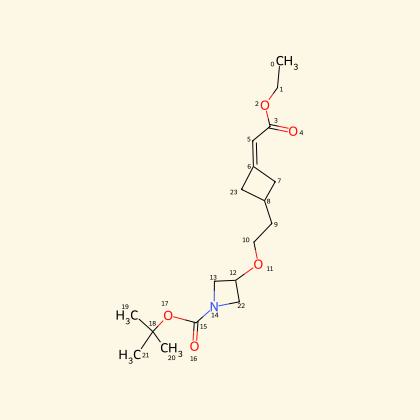 CCOC(=O)C=C1CC(CCOC2CN(C(=O)OC(C)(C)C)C2)C1